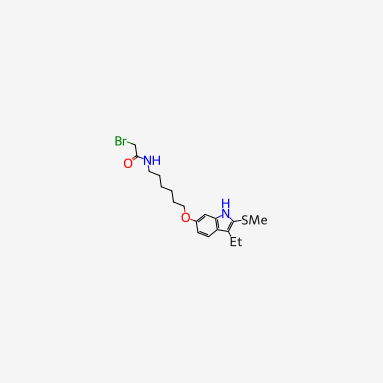 CCc1c(SC)[nH]c2cc(OCCCCCCNC(=O)CBr)ccc12